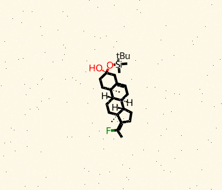 C/C(F)=C1\CC[C@H]2[C@@H]3CC=C4C[C@](O)(O[Si](C)(C)C(C)(C)C)CC[C@]4(C)[C@H]3CC[C@]12C